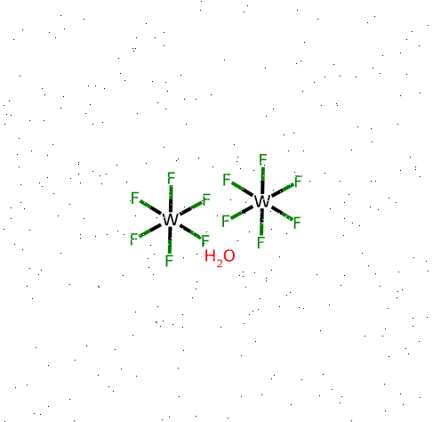 O.[F][W]([F])([F])([F])([F])[F].[F][W]([F])([F])([F])([F])[F]